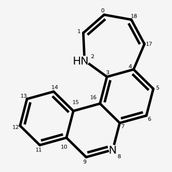 C1=CNc2c(ccc3ncc4ccccc4c23)C=C1